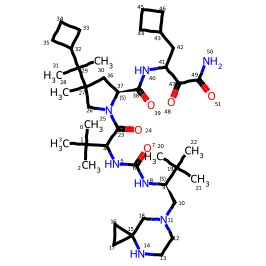 CC(C)(C)C(NC(=O)N[C@H](CN1CCNC2(CC2)C1)C(C)(C)C)C(=O)N1CC(C)(C(C)(C)C2CCC2)C[C@H]1C(=O)NC(CC1CCC1)C(=O)C(N)=O